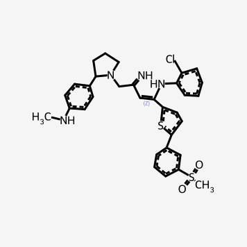 CNc1ccc(C2CCCN2CC(=N)/C=C(\Nc2ccccc2Cl)c2ccc(-c3cccc(S(C)(=O)=O)c3)s2)cc1